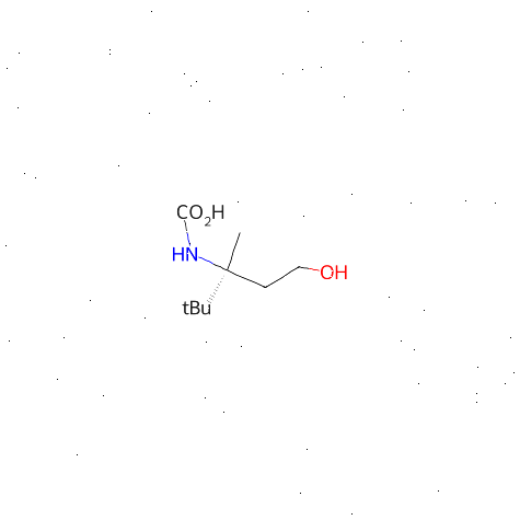 CC(C)(C)[C@](C)(CCO)NC(=O)O